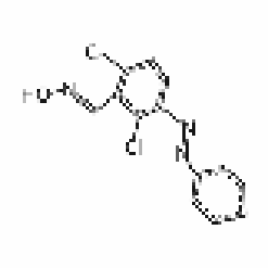 ON=Cc1c(Cl)ccc(N=Nc2ccccc2)c1Cl